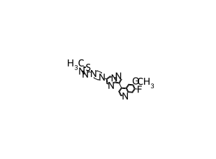 COc1cc2c(-c3cnn4cc(N5CCN(c6nnc(C)s6)CC5)cnc34)ccnc2cc1F